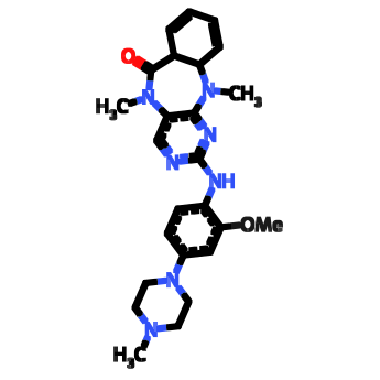 COc1cc(N2CCN(C)CC2)ccc1Nc1ncc2c(n1)N(C)C1C=CC=CC1C(=O)N2C